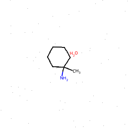 CC1(N)CCCCC1.O